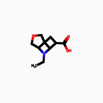 CCN1C2COCC23CC(C(=O)O)C13